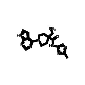 Cc1nsc(NC(=O)C2(CN)CCN(c3ncnc4[nH]ccc34)CC2)n1